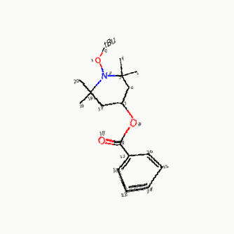 CC(C)(C)ON1C(C)(C)CC(OC(=O)c2ccccc2)CC1(C)C